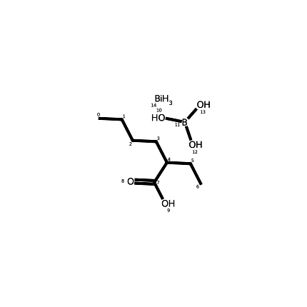 CCCCC(CC)C(=O)O.OB(O)O.[BiH3]